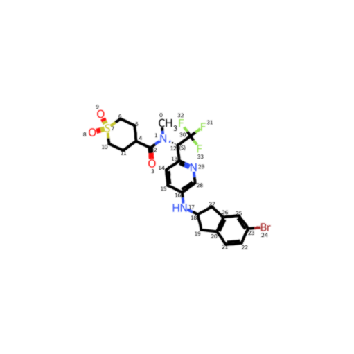 CN(C(=O)C1CCS(=O)(=O)CC1)[C@@H](c1ccc(NC2Cc3ccc(Br)cc3C2)cn1)C(F)(F)F